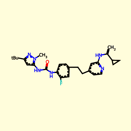 C=C(Nc1cc(CCc2ccc(NC(=O)Nc3cc(C(C)(C)C)nn3C)c(F)c2)ccn1)C1CC1